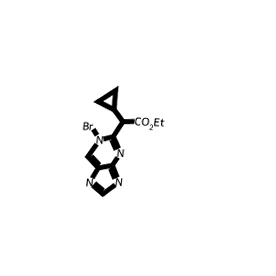 CCOC(=O)C(c1nc2ncnc-2cn1Br)C1CC1